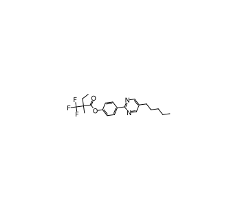 CCCCCc1cnc(-c2ccc(OC(=O)C(C)(CC)C(F)(F)F)cc2)nc1